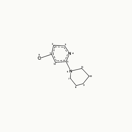 Clc1ccnc(N2CCCCC2)c1